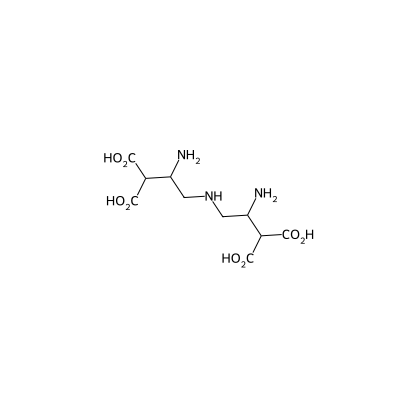 NC(CNCC(N)C(C(=O)O)C(=O)O)C(C(=O)O)C(=O)O